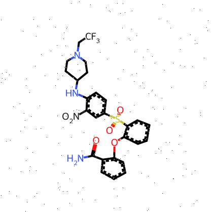 NC(=O)c1ccccc1Oc1ccccc1S(=O)(=O)c1ccc(NC2CCN(CC(F)(F)F)CC2)c([N+](=O)[O-])c1